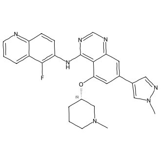 CN1CCC[C@H](Oc2cc(-c3cnn(C)c3)cc3ncnc(Nc4ccc5ncccc5c4F)c23)C1